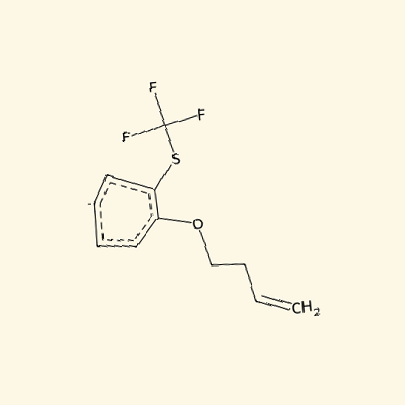 C=CCCOc1cc[c]cc1SC(F)(F)F